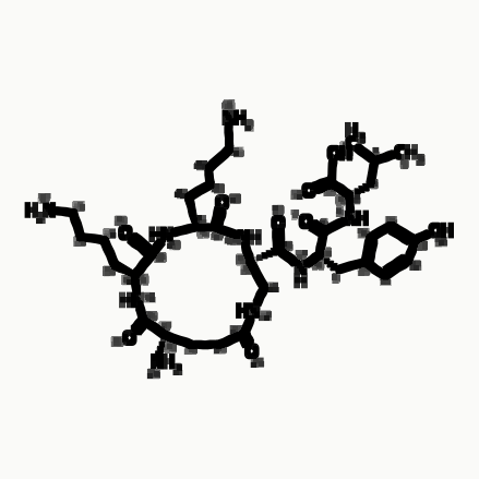 CC(C)C[C@H](NC(=O)[C@H](Cc1ccc(O)cc1)NC(=O)[C@@H]1CNC(=O)CC[C@H](N)C(=O)N[C@@H](CCCCN)C(=O)N[C@@H](CCCCN)C(=O)N1)C(=O)O